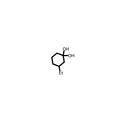 CCC1CCCC(O)(O)C1